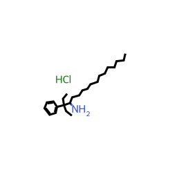 CCCCCCCCCCCCCC(N)C(CC)(CC)c1ccccc1.Cl